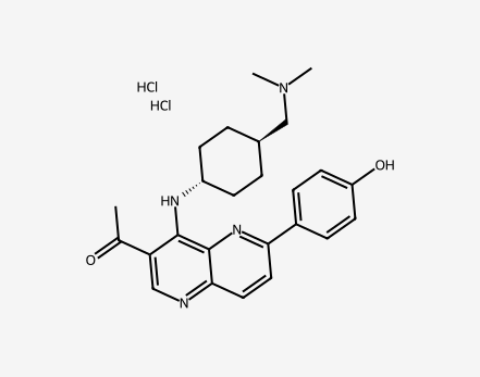 CC(=O)c1cnc2ccc(-c3ccc(O)cc3)nc2c1N[C@H]1CC[C@H](CN(C)C)CC1.Cl.Cl